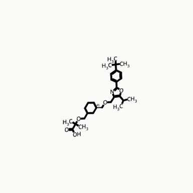 CC(C)c1oc(-c2ccc(C(C)(C)C)cc2)nc1COC[C@@H]1CCCC(COC(C)(C)C(=O)O)C1